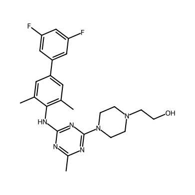 Cc1nc(Nc2c(C)cc(-c3cc(F)cc(F)c3)cc2C)nc(N2CCN(CCO)CC2)n1